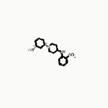 CCC[C@@H]1CCC[C@@H](N2CCC(Nc3ccccc3[N+](=O)[O-])CC2)C1